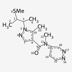 CSC(C)C(C)n1ncc(C(=O)N(C)c2ccnnc2)c1C